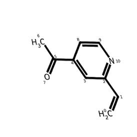 C=Cc1cc(C(C)=O)ccn1